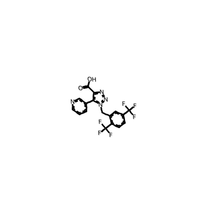 O=C(O)c1nnn(Cc2cc(C(F)(F)F)ccc2C(F)(F)F)c1-c1cccnc1